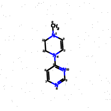 CN1C=CN(c2ccncn2)CC1